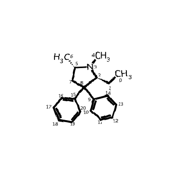 CC[C@@H]1N(C)[C@@H](C)CC1(c1ccccc1)c1ccccc1